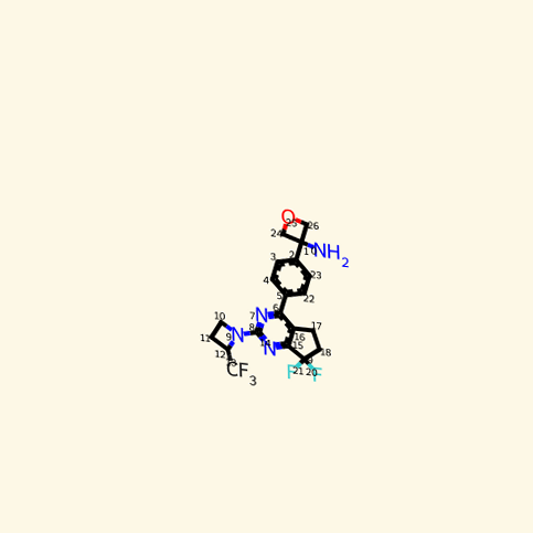 NC1(c2ccc(-c3nc(N4CCC4C(F)(F)F)nc4c3CCC4(F)F)cc2)COC1